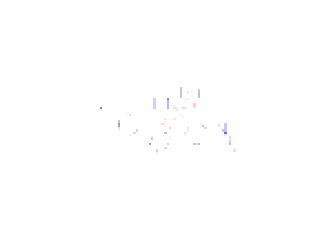 CC(C)(C)NS(=O)(=O)c1cc(N2CCCC2=O)ccc1-c1cnc(-c2ccc([N+](=O)[O-])cc2)s1